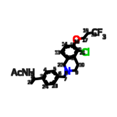 CC(=O)NC(C)c1ccc(CN2CCc3c(ccc(OCCC(F)(F)F)c3Cl)C2)cc1